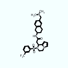 CN(C)Cc1ccc2c(c1)CCC(NC(=O)CC1c3cccn3CCN1S(=O)(=O)c1cccc(C(F)(F)F)c1)C2